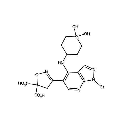 CCn1ncc2c(NC3CCS(O)(O)CC3)c(C3=NOC(C(=O)O)(C(=O)O)C3)cnc21